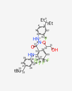 CCC(CC)c1ccc(NN(OCCO)C(=O)C2=C(Nc3ccc(CC(C)(C)C)cc3F)C(F)(F)C(F)(F)C=C2)c(F)c1